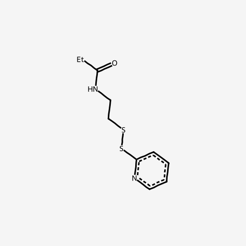 CCC(=O)NCCSSc1ccccn1